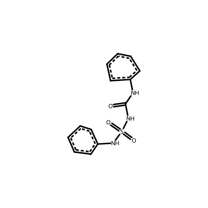 O=C(Nc1ccccc1)NS(=O)(=O)Nc1ccccc1